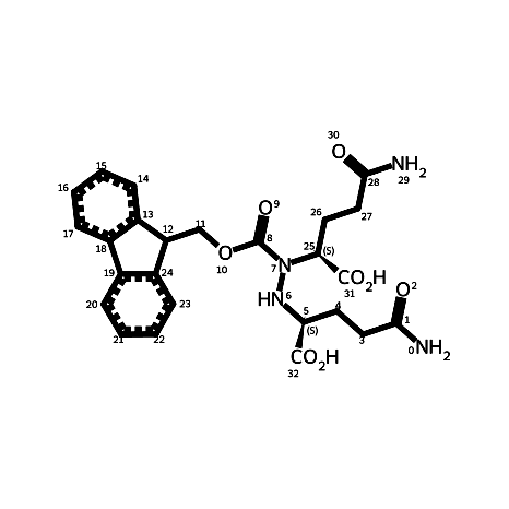 NC(=O)CC[C@H](NN(C(=O)OCC1c2ccccc2-c2ccccc21)[C@@H](CCC(N)=O)C(=O)O)C(=O)O